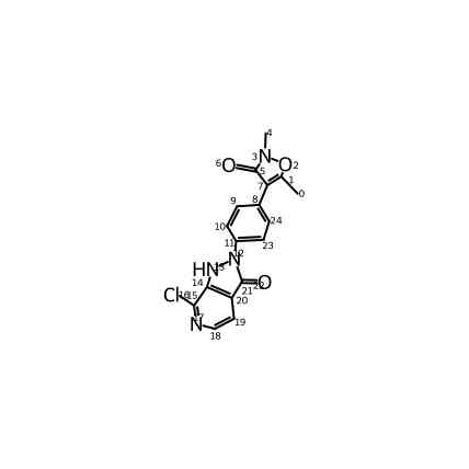 Cc1on(C)c(=O)c1-c1ccc(-n2[nH]c3c(Cl)nccc3c2=O)cc1